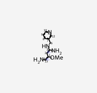 COC(/C=C(\N)NCc1cccnc1)=C/N